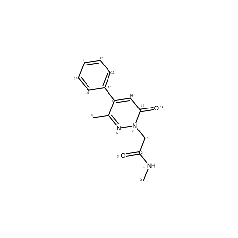 CNC(=O)Cn1nc(C)c(-c2ccccc2)cc1=O